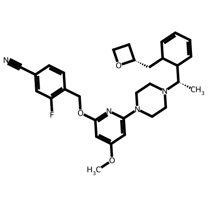 COc1cc(OCc2ccc(C#N)cc2F)nc(N2CCN([C@@H](C)C3C=CC=CC3C[C@H]3CCO3)CC2)c1